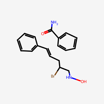 NC(=O)c1ccccc1.ONCC(Br)CC=Cc1ccccc1